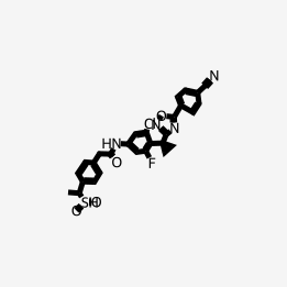 CC(c1ccc(CC(=O)Nc2cc(F)c(C3(c4noc(-c5ccc(C#N)cc5)n4)CC3)c(Cl)c2)cc1)[SH](=O)=O